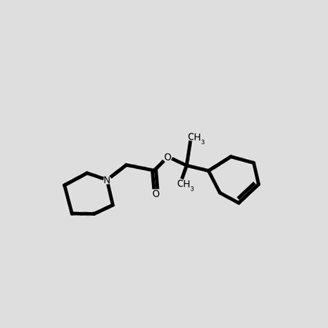 CC(C)(OC(=O)CN1CCCCC1)C1CC=CCC1